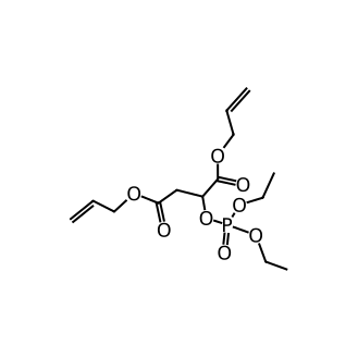 C=CCOC(=O)CC(OP(=O)(OCC)OCC)C(=O)OCC=C